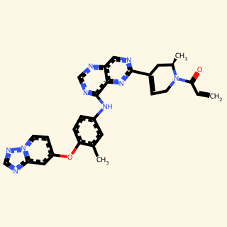 C=CC(=O)N1CC=C(c2ncc3ncnc(Nc4ccc(Oc5ccn6ncnc6c5)c(C)c4)c3n2)C[C@H]1C